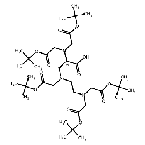 CC(C)(C)OC(=O)CN(CCN(CC(=O)OC(C)(C)C)C[C@H](C(=O)O)N(CC(=O)OC(C)(C)C)CC(=O)OC(C)(C)C)CC(=O)OC(C)(C)C